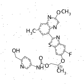 COc1cnc2c(-c3nc4cc(F)c(O[C@@H](C)COC(=O)Nc5ccc(CO)nc5)cc4s3)cc(C)cc2n1